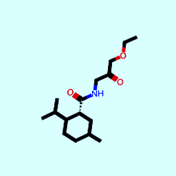 CCOCC(=O)CNC(=O)[C@@H]1CC(C)CCC1C(C)C